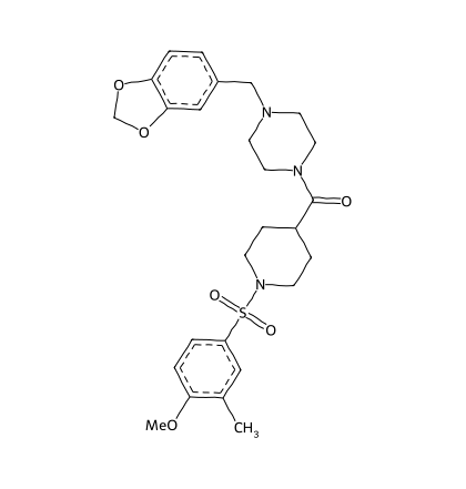 COc1ccc(S(=O)(=O)N2CCC(C(=O)N3CCN(Cc4ccc5c(c4)OCO5)CC3)CC2)cc1C